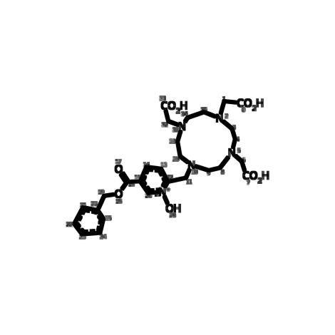 O=C(O)CN1CCN(CC(=O)O)CCN(Cc2ccc(C(=O)OCc3ccccc3)c[n+]2O)CCN(CC(=O)O)CC1